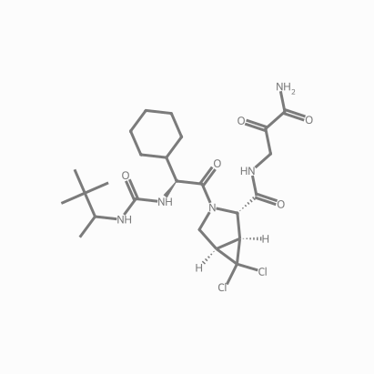 CC(NC(=O)N[C@H](C(=O)N1C[C@H]2[C@@H]([C@H]1C(=O)NCC(=O)C(N)=O)C2(Cl)Cl)C1CCCCC1)C(C)(C)C